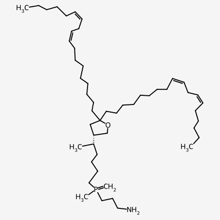 C=P(C)(CCCN)CCCCC(C)[C@H]1COC(CCCCCCCC/C=C\C/C=C\CCCCC)(CCCCCCCC/C=C\C/C=C\CCCCC)C1